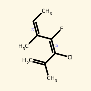 C=C(C)/C(Cl)=C(F)\C(C)=C/C